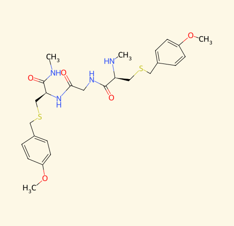 CNC(=O)[C@H](CSCc1ccc(OC)cc1)NC(=O)CNC(=O)[C@H](CSCc1ccc(OC)cc1)NC